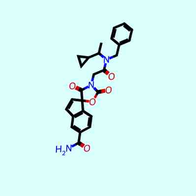 CC(C1CC1)N(Cc1ccccc1)C(=O)CN1C(=O)OC2(C=Cc3cc(C(N)=O)ccc32)C1=O